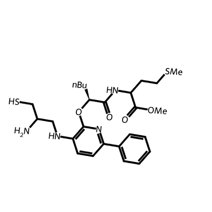 CCCC[C@H](Oc1nc(-c2ccccc2)ccc1NCC(N)CS)C(=O)NC(CCSC)C(=O)OC